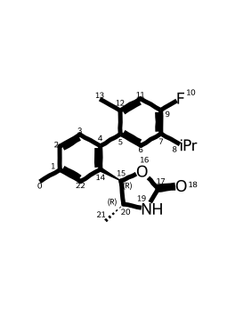 Cc1ccc(-c2cc(C(C)C)c(F)cc2C)c([C@H]2OC(=O)N[C@@H]2C)c1